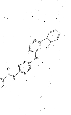 O=C(Nc1ncc(Nc2ncnc3c2OC2C=CC=CC32)cn1)c1ccccc1